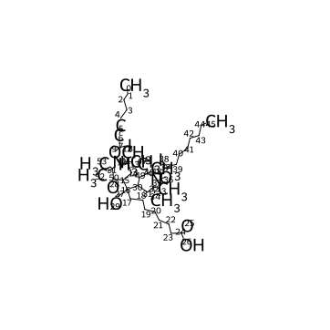 CCCCCCCC(I)ON1C(C)(C)CC(C(CCCCCCCC(=O)O)(C(=O)O)C2CC(C)(C)N(OC(I)CCCCCCC)C(C)(C)C2)CC1(C)C